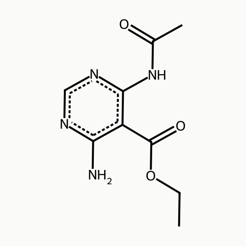 CCOC(=O)c1c(N)ncnc1NC(C)=O